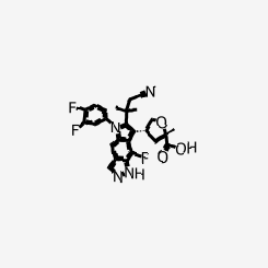 CC(C)(CC#N)c1c([C@@H]2CO[C@](C)(C(=O)O)C2)c2c(F)c3[nH]ncc3cc2n1-c1ccc(F)c(F)c1